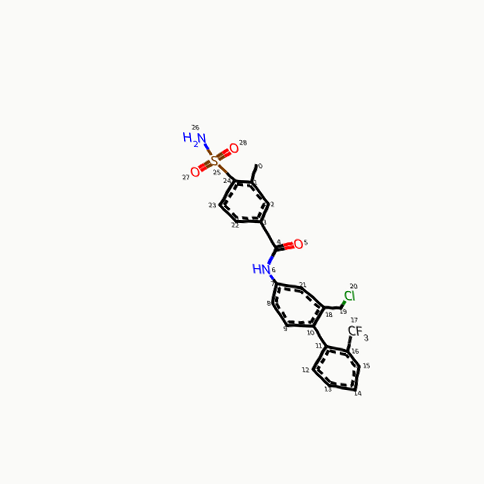 Cc1cc(C(=O)Nc2ccc(-c3ccccc3C(F)(F)F)c(CCl)c2)ccc1S(N)(=O)=O